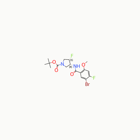 COc1cc(F)c(Br)cc1C(=O)N[C@@H]1CN(C(=O)OC(C)(C)C)C[C@@H]1F